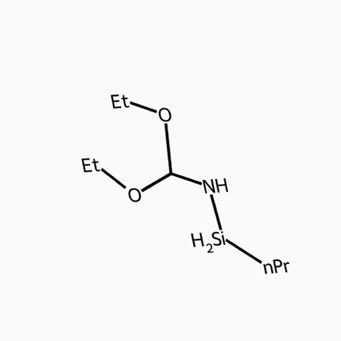 CCC[SiH2]NC(OCC)OCC